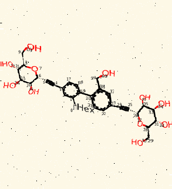 CCCCCCc1cc(C#C[C@H]2O[C@H](CO)[C@@H](O)[C@H](O)[C@@H]2O)ccc1-c1ccc(C#C[C@H]2O[C@H](CO)[C@@H](O)[C@H](O)[C@@H]2O)cc1CO